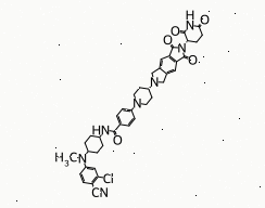 CN(c1ccc(C#N)c(Cl)c1)C1CCC(NC(=O)c2ccc(N3CCC(N4Cc5cc6c(cc5C4)C(=O)N([C@H]4CCC(=O)NC4=O)C6=O)CC3)cc2)CC1